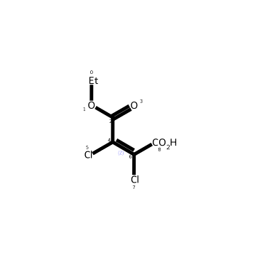 CCOC(=O)/C(Cl)=C(/Cl)C(=O)O